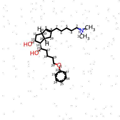 CN(C)CCCCCC1=C[C@H]2C[C@@H](O)[C@H]([C@H](O)CCCCOc3ccccc3)[C@H]2C1